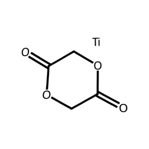 O=C1COC(=O)CO1.[Ti]